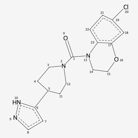 O=C(N1CCC(c2ccn[nH]2)CC1)N1CCOc2cc(Cl)ccc21